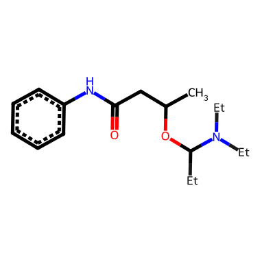 CCC(OC(C)CC(=O)Nc1ccccc1)N(CC)CC